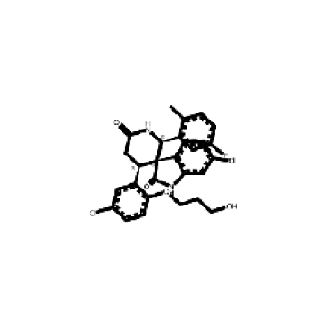 Cc1ccc(F)cc1[C@@H]1NC(=O)C[C@H](c2cc(Cl)ccc2OCCCO)[C@@]12C(=O)Nc1cc(Cl)ccc12